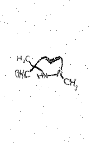 CN1C=CC(C)(C=O)N1